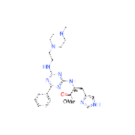 COC(=O)[C@H](Cc1c[nH]cn1)Nc1nc(NCCN2CCN(C)CC2)nc(-c2ccccc2)n1